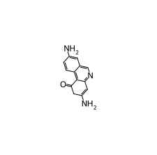 NC1=Cc2ncc3cc(N)ccc3c2C(=O)C1